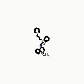 CN1C=C/C(=C\c2sc3ccccc3[n+]2CCC[n+]2ccccc2)c2ccccc21